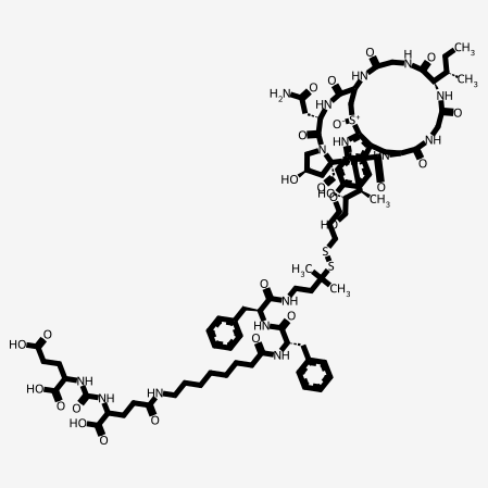 CC[C@H](C)[C@@H]1NC(=O)CNC(=O)C2Cc3c([nH]c4cc(OCCCSSC(C)(C)CCNC(=O)[C@H](Cc5ccccc5)NC(=O)[C@H](Cc5ccccc5)NC(=O)CCCCCCCNC(=O)CCC(NC(=O)NC(CCC(=O)O)C(=O)O)C(=O)O)ccc34)[S+]([O-])CC(NC(=O)CNC1=O)C(=O)N[C@@H](CC(N)=O)C(=O)N1C[C@H](O)C[C@]1(C=O)N[C@@H]([C@@H](C)[C@@H](O)CO)C(=O)N2